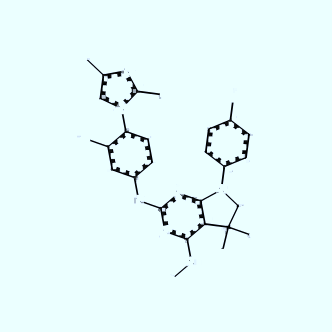 CNc1nc(Nc2ccc(-n3cc(C)nc3C)c(F)c2)nc2c1C(C)(C)CN2c1ccc(F)cc1